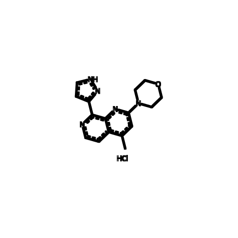 Cc1cc(N2CCOCC2)nc2c(-c3cc[nH]n3)nccc12.Cl